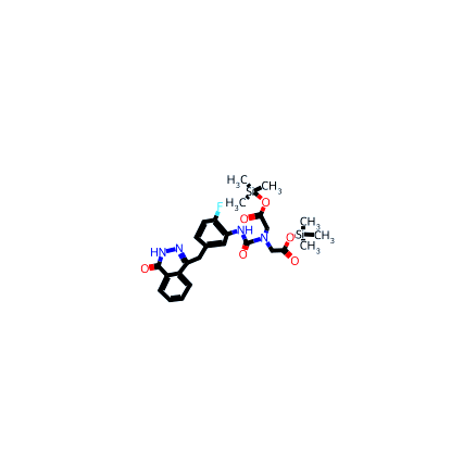 C[Si](C)(C)OC(=O)CN(CC(=O)O[Si](C)(C)C)C(=O)Nc1cc(Cc2n[nH]c(=O)c3ccccc23)ccc1F